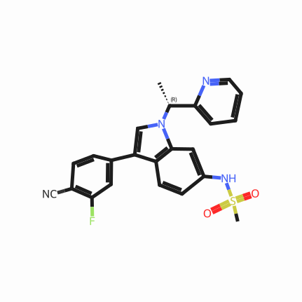 C[C@H](c1ccccn1)n1cc(-c2ccc(C#N)c(F)c2)c2ccc(NS(C)(=O)=O)cc21